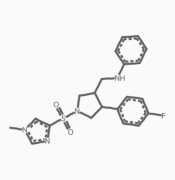 Cn1cnc(S(=O)(=O)N2CC(CNc3ccccc3)C(c3ccc(F)cc3)C2)c1